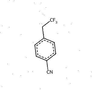 N#Cc1ccc(CC(F)(F)F)cc1